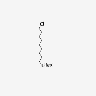 [CH2]CCCCCCCCCCCCCCCl